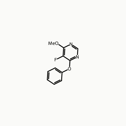 COc1ncnc(Oc2ccccc2)c1F